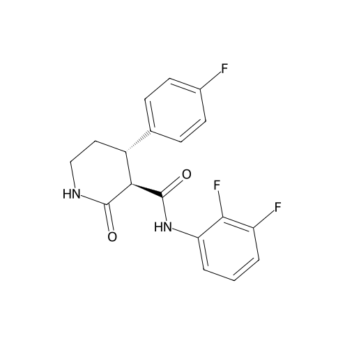 O=C1NCC[C@H](c2ccc(F)cc2)[C@H]1C(=O)Nc1cccc(F)c1F